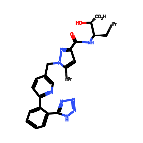 CCCc1cc(C(=O)N[C@H](CC(C)C)[C@@H](O)C(=O)O)nn1Cc1ccc(-c2ccccc2-c2nnn[nH]2)nc1